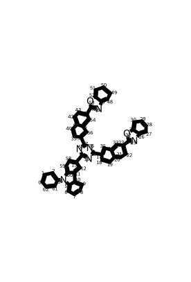 c1ccc(-n2c3ccccc3c3cc(-c4nc(-c5ccc6ccc(-c7nc8ccccc8o7)cc6c5)nc(-c5ccc6ccc(-c7nc8ccccc8o7)cc6c5)n4)ccc32)cc1